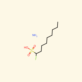 CCCCCCCCC(F)S(=O)(=O)O.N